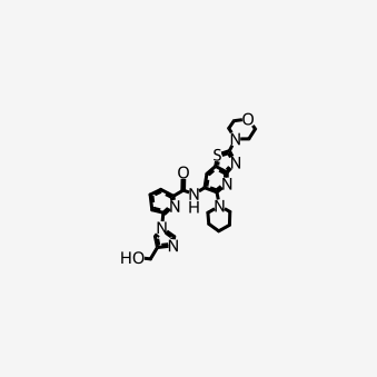 O=C(Nc1cc2sc(N3CCOCC3)nc2nc1N1CCCCC1)c1cccc(-n2cnc(CO)c2)n1